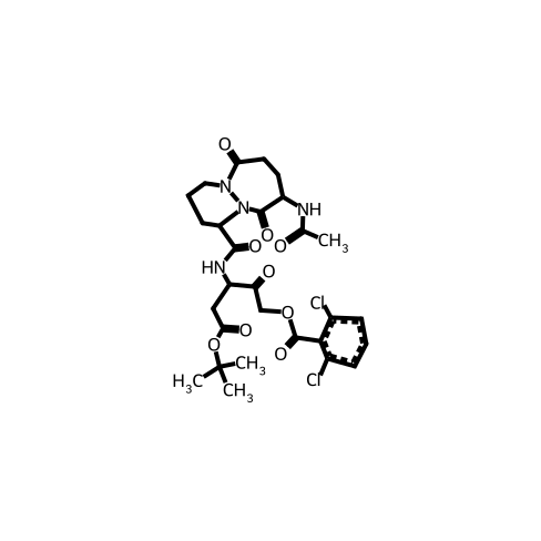 CC(=O)NC1CCC(=O)N2CCCC(C(=O)NC(CC(=O)OC(C)(C)C)C(=O)COC(=O)c3c(Cl)cccc3Cl)N2C1=O